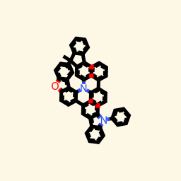 CC1(C)c2ccccc2-c2ccc(N(c3ccccc3-c3ccccc3)c3c(-c4ccc5c(c4)c4ccccc4n5-c4ccccc4)ccc4oc5ccccc5c34)cc21